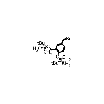 CC(C)(C)[Si](C)(C)OCc1cc(CBr)ccc1O[Si](C)(C)C(C)(C)C